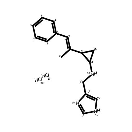 C/C(=C\c1ccccc1)C1CC1NCc1c[nH]cn1.Cl.Cl